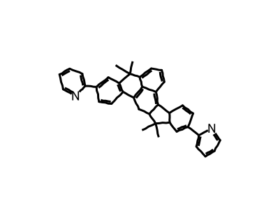 CC1(C)c2cc(-c3ccccn3)ccc2C2=c3c1cccc3=C1C3C=CC(c4ccccn4)=CC3C(C)(C)C1C2